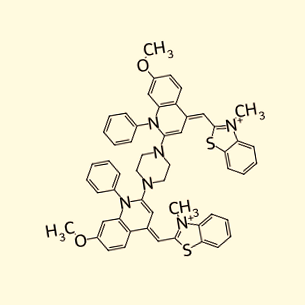 COc1ccc2c(c1)N(c1ccccc1)C(N1CCN(C3=C/C(=C\c4sc5ccccc5[n+]4C)c4ccc(OC)cc4N3c3ccccc3)CC1)=C/C2=C\c1sc2ccccc2[n+]1C